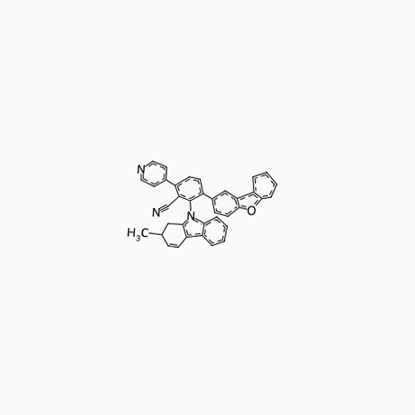 CC1C=Cc2c(n(-c3c(-c4ccc5oc6ccccc6c5c4)ccc(-c4ccncc4)c3C#N)c3ccccc23)C1